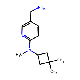 CN(c1ccc(CN)cn1)C1CC(C)(C)C1